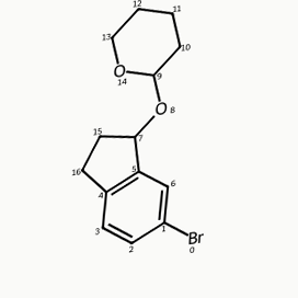 Brc1ccc2c(c1)C(OC1CCCCO1)CC2